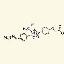 C[C@@H](NC(=O)c1ccc(OCC(=O)O)cc1)C(=O)c1ccc(C=NN)cc1.I